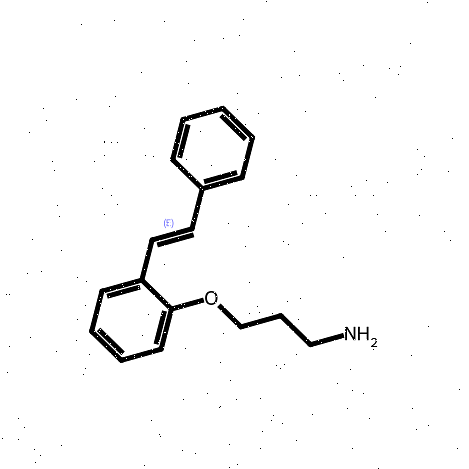 NCCCOc1ccccc1/C=C/c1ccccc1